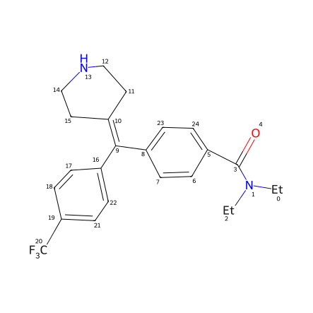 CCN(CC)C(=O)c1ccc(C(=C2CCNCC2)c2ccc(C(F)(F)F)cc2)cc1